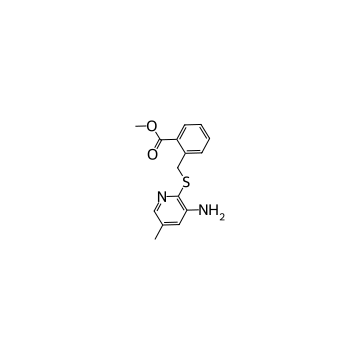 COC(=O)c1ccccc1CSc1ncc(C)cc1N